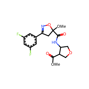 COC(=O)C1COCC1NC(=O)C1(OC)CC(c2cc(F)cc(F)c2)=NO1